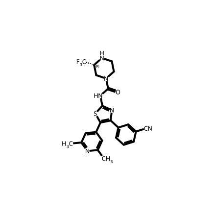 Cc1cc(-c2sc(NC(=O)N3CCN[C@@H](C(F)(F)F)C3)nc2-c2cccc(C#N)c2)cc(C)n1